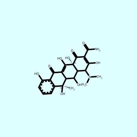 CN(C)C1C(O)=C(C(N)=O)C(=O)[C@]2(O)C(O)=C3C(=O)c4c(O)cccc4[C@](C)(O)C3C(O)C12